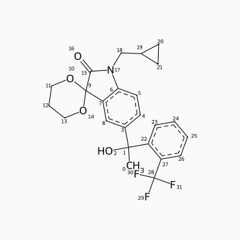 CC(O)(c1ccc2c(c1)C1(OCCCO1)C(=O)N2CC1CC1)c1ccccc1C(F)(F)F